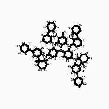 Cc1cc2c3c(c1)N(c1cccc4c1oc1ccccc14)c1cc(N4c5ccc(-c6ccccc6)cc5C5(C)CCCCC45C)ccc1B3c1ccc(N3c4ccc(-c5ccccc5)cc4C4(C)CCCCC34C)cc1N2c1cccc2c1oc1ccccc12